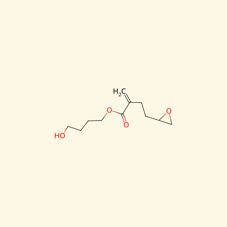 C=C(CCC1CO1)C(=O)OCCCCO